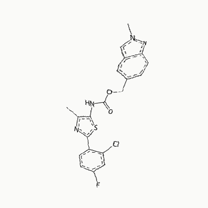 Cc1nc(-c2ccc(F)cc2Cl)sc1NC(=O)OCc1ccc2nn(C)cc2c1